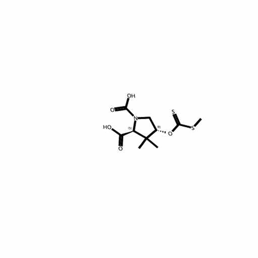 CSC(=S)O[C@H]1CN(C(=O)O)[C@H](C(=O)O)C1(C)C